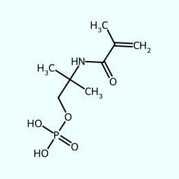 C=C(C)C(=O)NC(C)(C)COP(=O)(O)O